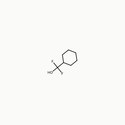 OC(F)(F)C1CCCCC1